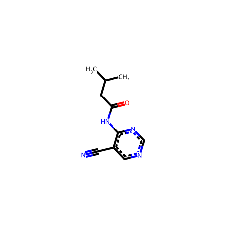 CC(C)CC(=O)Nc1ncncc1C#N